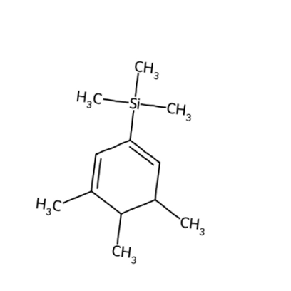 CC1=CC([Si](C)(C)C)=CC(C)C1C